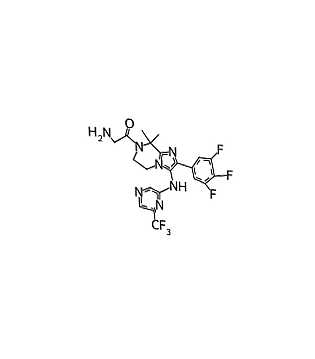 CC1(C)c2nc(-c3cc(F)c(F)c(F)c3)c(Nc3cncc(C(F)(F)F)n3)n2CCN1C(=O)CN